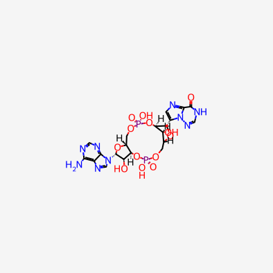 Nc1ncnc2c1ncn2[C@@H]1O[C@@H]2COP(=O)(O)O[C@@H]3[C@H](O)[C@@H](COP(=O)(O)O[C@H]2[C@H]1O)O[C@H]3c1cnc2c(=O)[nH]cnn12